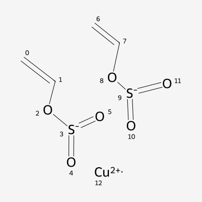 C=CO[S-](=O)=O.C=CO[S-](=O)=O.[Cu+2]